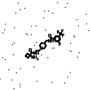 NC1(C(=O)NCCN2CCC(CNC(=O)c3cc(F)cc(C(F)(F)F)c3)CC2)CCC1